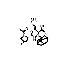 CSCC[C@@H](C(=O)O)N(NC(=O)[C@@H]1C[C@@H](F)CN1C(=O)O)C12CC3CC(CC(C3)C1)C2